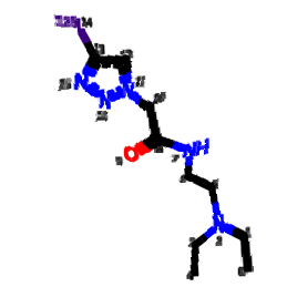 CCN(CC)CCNC(=O)Cn1cc([125I])nn1